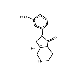 O=C(O)c1cccc(N2C[C@@H]3CNCCC3C2=O)c1